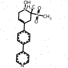 CC1(S(C)(=O)=O)CC(c2ccc(-c3ccncc3)cc2)=CCN1O